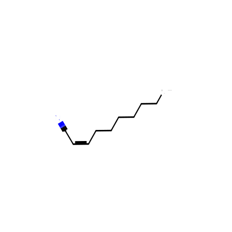 CCCCCCC/C=[C]\C#N